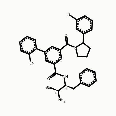 CCCC[C@H](N)[C@H](Cc1ccccc1)NC(=O)c1cc(C(=O)N2CCCC2c2cccc(Cl)c2)cc(-c2ccccc2C#N)c1